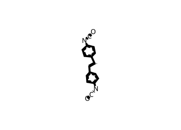 O=C=Nc1ccc([C]=Cc2ccc(N=C=O)cc2)cc1